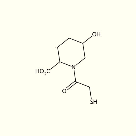 O=C(O)[C]1[CH]CC(O)CN1C(=O)CS